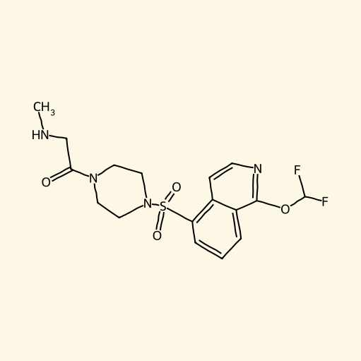 CNCC(=O)N1CCN(S(=O)(=O)c2cccc3c(OC(F)F)nccc23)CC1